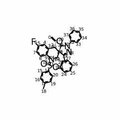 C=C[C@H]1c2cc(F)ccc2N(S(=O)(=O)c2ccc(C)cc2)[C@@H](c2ccccc2)[C@]12C(=O)N(c1ccccc1)N=C2C